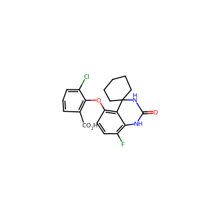 O=C1Nc2c(F)ccc(Oc3c(Cl)cccc3C(=O)O)c2C2(CCCCC2)N1